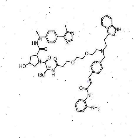 Cc1ncsc1-c1ccc([C@H](C)NC(=O)C2CC(O)CN2C(=O)[C@@H](NC(=O)CCOCCOCCN(CCc2c[nH]c3ccccc23)Cc2ccc(/C=C/C(=O)Nc3ccccc3N)cc2)C(C)(C)C)cc1